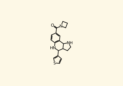 O=C(c1ccc2c(c1)C1NCCC1C(c1ccsc1)N2)N1CCC1